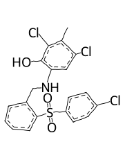 Cc1c(Cl)cc(NCc2ccccc2S(=O)(=O)c2ccc(Cl)cc2)c(O)c1Cl